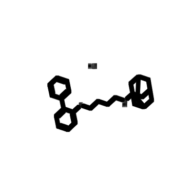 Cl.c1ccc(-c2ccccc2SCCCCNC23CC4CC(CC(C4)C2)C3)cc1